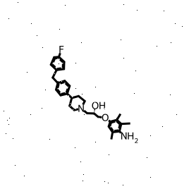 Cc1cc(OC[C@@H](O)CN2CCC(c3ccc(Cc4ccc(F)cc4)cc3)CC2)c(C)c(C)c1N